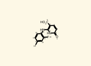 O=C(O)c1ccc(=O)[nH]c1Nc1ccc(I)cc1F